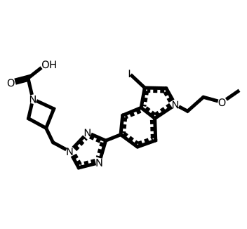 COCCn1cc(I)c2cc(-c3ncn(CC4CN(C(=O)O)C4)n3)ccc21